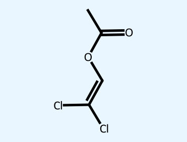 CC(=O)OC=C(Cl)Cl